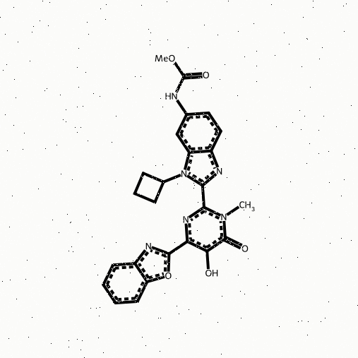 COC(=O)Nc1ccc2nc(-c3nc(-c4nc5ccccc5o4)c(O)c(=O)n3C)n(C3CCC3)c2c1